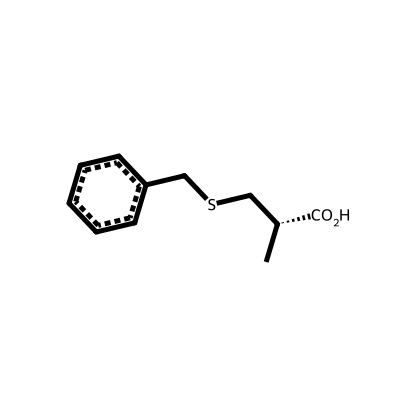 C[C@H](CSCc1ccccc1)C(=O)O